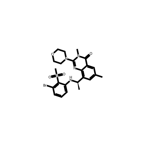 Cc1cc([C@@H](C)Nc2cccc(Br)c2S(C)(=O)=O)c2nc(N3CCOCC3)n(C)c(=O)c2c1